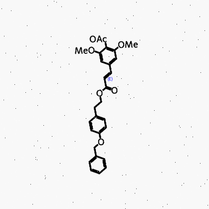 COc1cc(/C=C/C(=O)OCCc2ccc(OCc3ccccc3)cc2)cc(OC)c1OC(C)=O